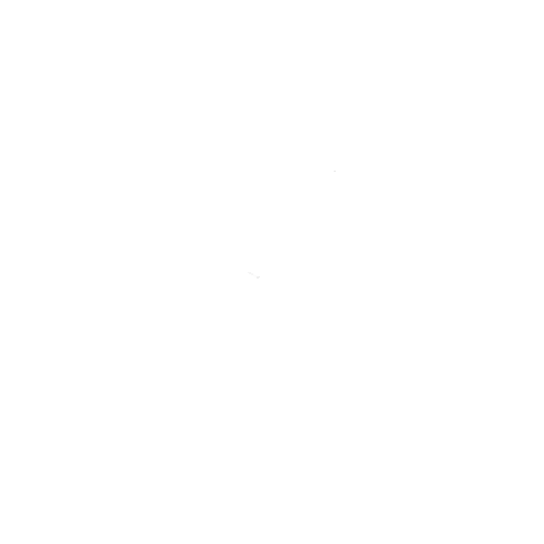 CC(C)CCCCCCC(=O)OCCCCCCCO